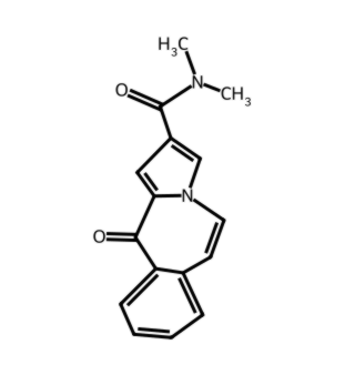 CN(C)C(=O)c1cc2c(=O)c3ccccc3ccn2c1